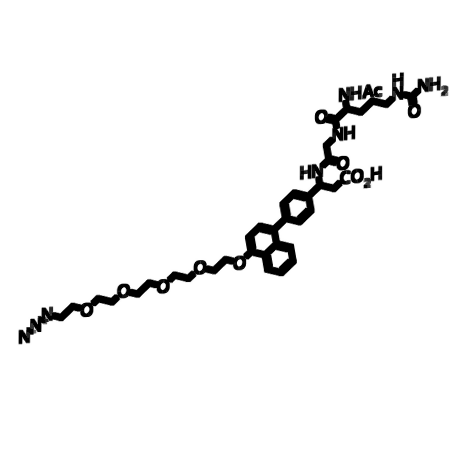 CC(=O)NC(CCCNC(N)=O)C(=O)NCC(=O)NC(CC(=O)O)c1ccc(-c2ccc(OCCOCCOCCOCCOCCN=[N+]=[N-])c3ccccc23)cc1